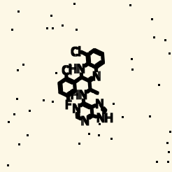 CC(Nc1ncnc2[nH]cnc12)C1=Nc2cccc(Cl)c2NC1c1cc(F)ccc1Cl